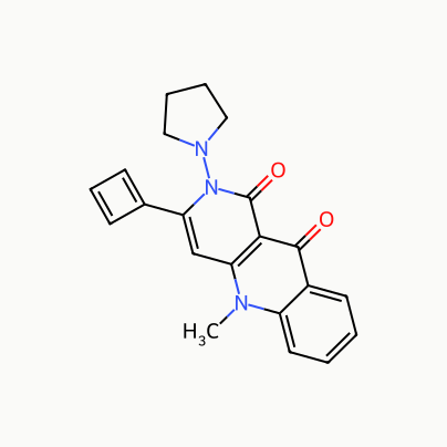 Cn1c2ccccc2c(=O)c2c(=O)n(N3CCCC3)c(C3=CC=C3)cc21